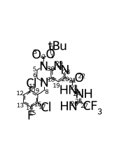 CC(C)(C)OC(=O)N1CCN(Cc2c(Cl)ccc(F)c2Cl)c2cc(C(=O)NNC(=N)C(F)(F)F)nnc21